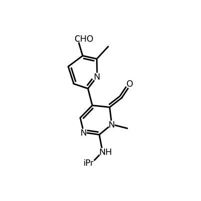 Cc1nc(C2=CN=C(NC(C)C)N(C)C2=C=O)ccc1C=O